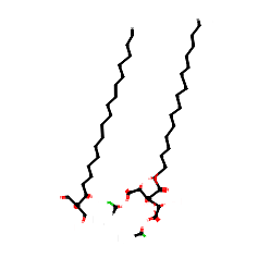 CCCCCCCCCCCCCCCCCC(=O)C(O)(C(O)C(=O)OC(C)Cl)C(O)C(=O)OC(C)Cl.CCCCCCCCCCCCCCCCCC(=O)C(O)(CO)CO